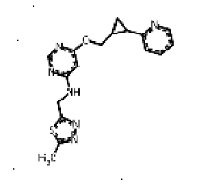 Cc1nnc(CNc2cc(OCC3CC3c3ccccn3)ncn2)s1